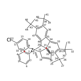 [CH2]=[Zr]([c]1ccccc1)([c]1ccc(Cl)cc1)([CH]1C=CC=C1)[CH]1c2cc(C(C)(C)C)c(C(C)(C)C)cc2-c2cc(C(C)(C)C)c(C(C)(C)C)cc21